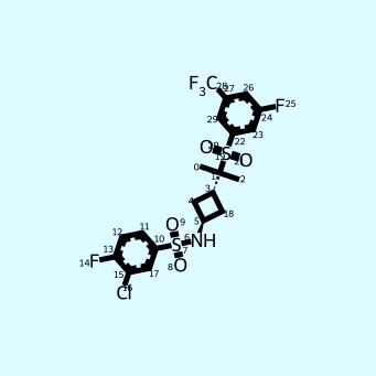 CC(C)([C@H]1C[C@H](NS(=O)(=O)c2ccc(F)c(Cl)c2)C1)S(=O)(=O)c1cc(F)cc(C(F)(F)F)c1